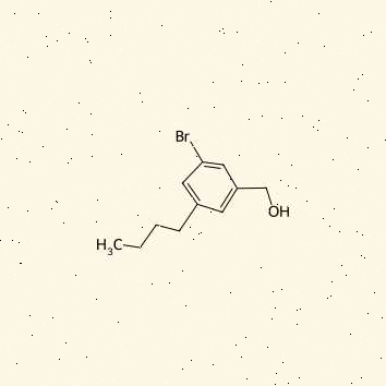 CCCCc1cc(Br)cc(CO)c1